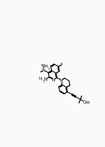 CN(N)c1c(N)nc(N2CCCc3c(C#CC(C)(C)O)cccc32)c2cc(F)ccc12